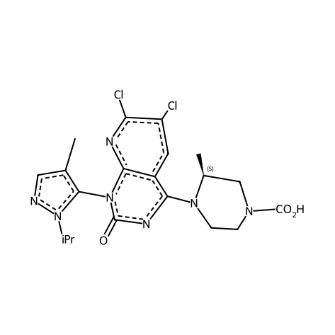 Cc1cnn(C(C)C)c1-n1c(=O)nc(N2CCN(C(=O)O)C[C@@H]2C)c2cc(Cl)c(Cl)nc21